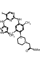 CNC(=O)CN1CCC[C@@H](c2cc(C)c(Nc3ncc(I)c(Nc4cc(C)[nH]n4)n3)cc2C)C1